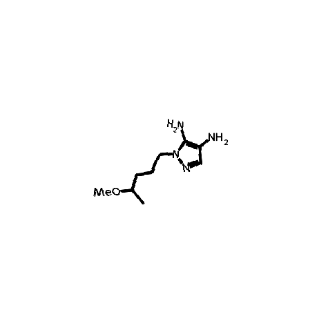 COC(C)CCCn1ncc(N)c1N